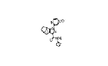 O=C(NC12CC(C1)C2)c1nn(-c2c[n+]([O-])ccn2)c2c1CC1CCC2O1